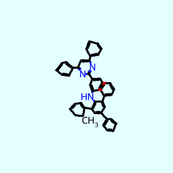 CC1CC=CC=C1c1cc(-c2ccccc2)cc(-c2ccccc2)c1Nc1cccc(-c2nc(-c3ccccc3)cc(-c3ccccc3)n2)c1